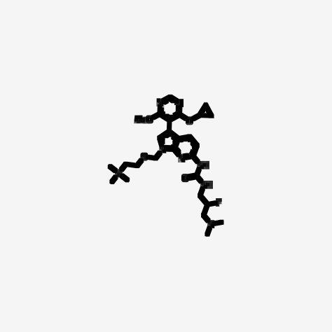 COc1ncnc(OC2CC2)c1-c1cn(COCC[Si](C)(C)C)c2nc(NC(=O)NCC(F)CN(C)C)ccc12